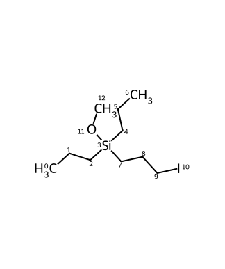 CCC[Si](CCC)(CCCI)OC